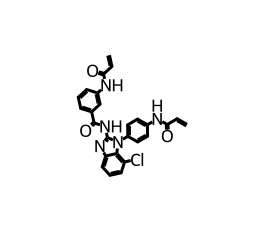 C=CC(=O)Nc1ccc(-n2c(NC(=O)c3cccc(NC(=O)C=C)c3)nc3cccc(Cl)c32)cc1